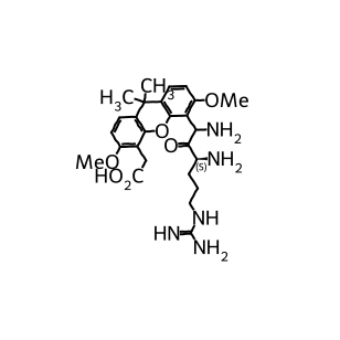 COc1ccc2c(c1CC(=O)O)Oc1c(ccc(OC)c1C(N)C(=O)[C@@H](N)CCCNC(=N)N)C2(C)C